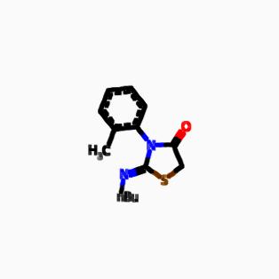 CCCC/N=C1\SCC(=O)N1c1ccccc1C